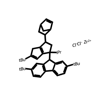 CC(C)C1(C2c3cc(C(C)(C)C)ccc3-c3ccc(C(C)(C)C)cc32)CC(C2CC3C=CC2C3)C2=C1C=C(C(C)(C)C)C2.[Cl-].[Cl-].[Zr+2]